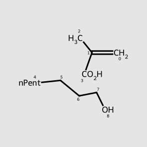 C=C(C)C(=O)O.CCCCCCCCO